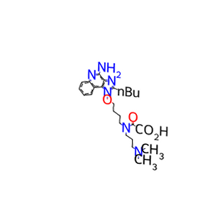 CCCCc1nc2c(N)nc3ccccc3c2n1OCCCCN(CCCN(C)C)C(=O)C(=O)O